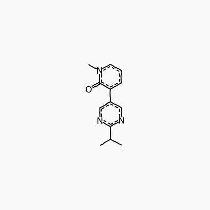 CC(C)c1ncc(-c2cccn(C)c2=O)cn1